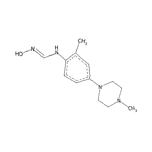 Cc1cc(N2CCN(C)CC2)ccc1N/C=N/O